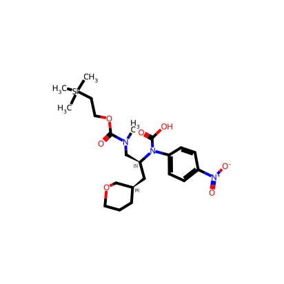 CN(C[C@H](C[C@H]1CCCOC1)N(C(=O)O)c1ccc([N+](=O)[O-])cc1)C(=O)OCC[Si](C)(C)C